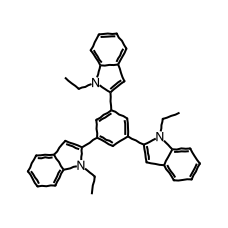 CCn1c(-c2cc(-c3cc4ccccc4n3CC)cc(-c3cc4ccccc4n3CC)c2)cc2ccccc21